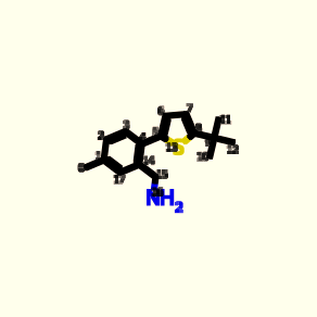 Cc1ccc(-c2ccc(C(C)(C)C)s2)c(CN)c1